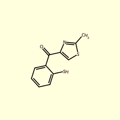 Cc1nc(C(=O)c2ccccc2S)cs1